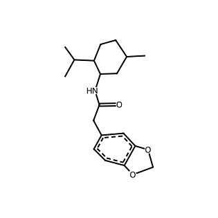 CC1CCC(C(C)C)C(NC(=O)Cc2ccc3c(c2)OCO3)C1